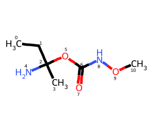 CCC(C)(N)OC(=O)NOC